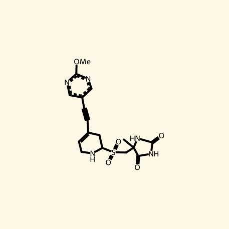 COc1ncc(C#CC2=CCNC(S(=O)(=O)CC3(C)NC(=O)NC3=O)C2)cn1